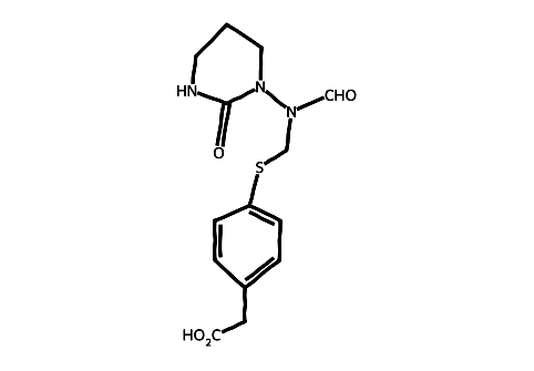 O=CN(CSc1ccc(CC(=O)O)cc1)N1CCCNC1=O